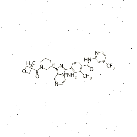 Cc1cc(C2=NC([C@@H]3CCCN(C(=O)C4(C)COC4)C3)=C3C=NC=C[N+]23N)ccc1C(=O)Nc1cc(C(F)(F)F)ccn1